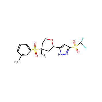 C[C@@]1(S(=O)(=O)c2cccc(C(F)(F)F)c2)CCO[C@@H](c2cc(S(=O)(=O)C(F)F)n[nH]2)C1